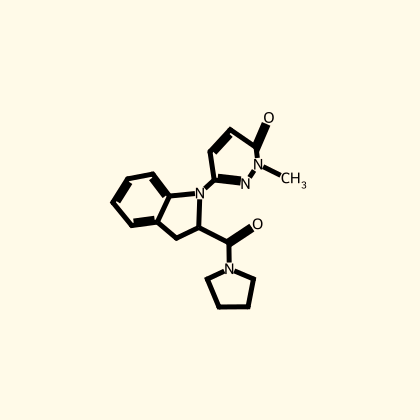 Cn1nc(N2c3ccccc3CC2C(=O)N2CCCC2)ccc1=O